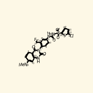 CNc1ccc2c(=O)n(-c3ccc(NC(=O)NS(=O)(=O)c4ccc(Cl)s4)cc3CF)c(=O)[nH]c2c1